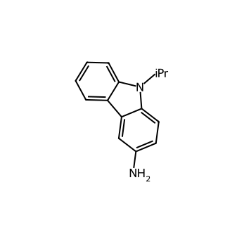 CC(C)n1c2ccccc2c2cc(N)ccc21